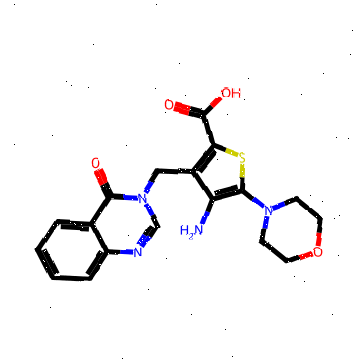 Nc1c(N2CCOCC2)sc(C(=O)O)c1Cn1cnc2ccccc2c1=O